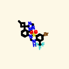 CC1CC(c2cccc(N3CNc4c(C(F)(F)F)cc(Br)cc4S3(=O)=O)c2)(c2ncnn2C)C1